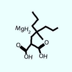 CCCC(C)(CCC)CC(C(=O)O)C(=O)O.[MgH2]